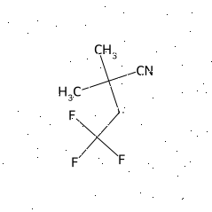 CC(C)(C#N)[CH]C(F)(F)F